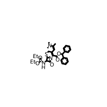 CCOP(NC1C(=O)N2C(C(=O)OC(c3ccccc3)c3ccccc3)=C(C=C(C)N(C)C)CSC12)OCC